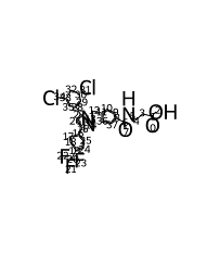 O=C(O)CCNC(=O)c1ccc(Cn2nc(-c3ccc(C(F)(F)F)cc3)cc2C2=CC(Cl)CC(Cl)=C2)cc1